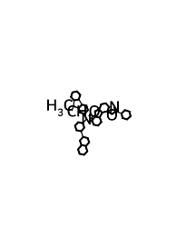 CC1(C)c2ccccc2-c2ccc(N(c3cccc(-c4ccc5ccccc5c4)c3)c3cccc4c3oc3ccc5nc(-c6ccccc6)oc5c34)cc21